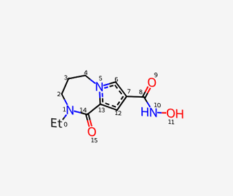 CCN1CCCn2cc(C(=O)NO)cc2C1=O